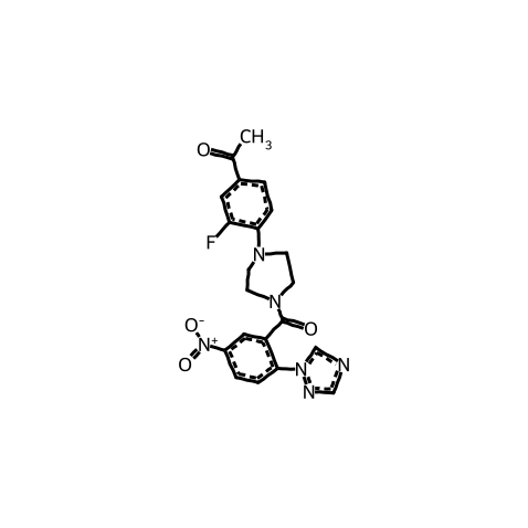 CC(=O)c1ccc(N2CCN(C(=O)c3cc([N+](=O)[O-])ccc3-n3cncn3)CC2)c(F)c1